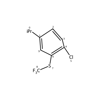 CC(C)c1c[c]c(Cl)c(SC(F)(F)F)c1